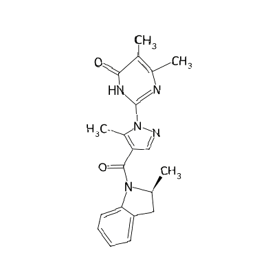 Cc1nc(-n2ncc(C(=O)N3c4ccccc4C[C@@H]3C)c2C)[nH]c(=O)c1C